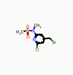 CN(c1cc(CBr)cc(Cl)n1)S(C)(=O)=O